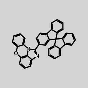 c1ccc2c(c1)Oc1cccc3nc(-c4ccc5c(c4)C4(c6ccccc6-c6ccccc64)c4ccccc4-5)n-2c13